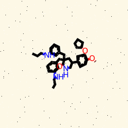 CCCNc1cccc(CC2(Cc3cccc(NCCC)c3)CC(c3ccc(OC)c(OC4CCCC4)c3)CNC2=O)c1